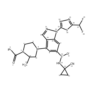 CC(C)C(=O)N1CCN(c2cc([S+]([O-])NC3(C#N)CC3)cc3c2cnn3-c2nnc(C(F)F)s2)CC1C